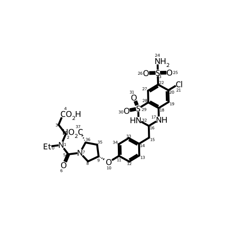 CCN(CCC(=O)O)C(=O)N1C[C@@H](Oc2ccc(CC3Nc4cc(Cl)c(S(N)(=O)=O)cc4S(=O)(=O)N3)cc2)C[C@H]1C(=O)O